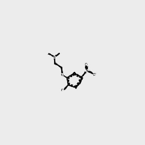 CN(C)CCOc1cc([N+](=O)[O-])ccc1Cl